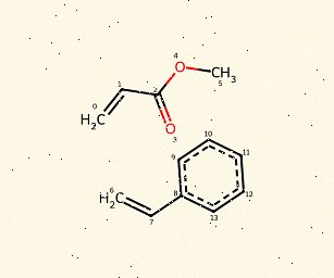 C=CC(=O)OC.C=Cc1ccccc1